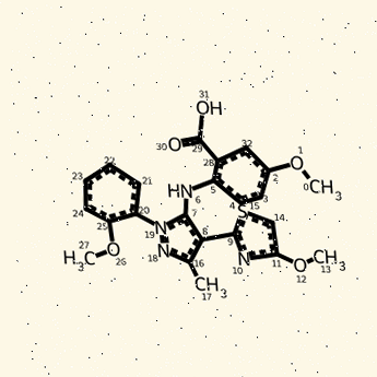 COc1ccc(Nc2c(-c3nc(OC)cs3)c(C)nn2-c2ccccc2OC)c(C(=O)O)c1